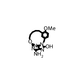 COc1ccc2cc1CCCCCOc1nc(N)c3nc(O)n(c3n1)C2